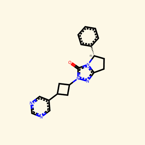 O=c1n(C2CC(c3cncnc3)C2)nc2n1[C@H](c1ccccc1)CC2